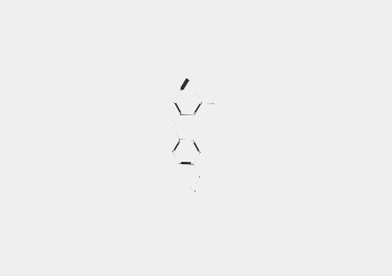 C#C/C=C(\C=C(/C)F)Cc1ccc(CN)cc1